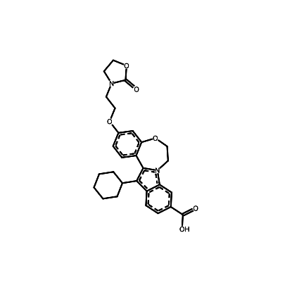 O=C(O)c1ccc2c(C3CCCCC3)c3n(c2c1)CCOc1cc(OCCN2CCOC2=O)ccc1-3